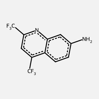 Nc1ccc2c(C(F)(F)F)cc(C(F)(F)F)nc2c1